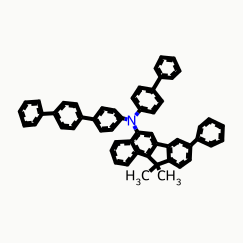 CC1(C)c2ccc(-c3ccccc3)cc2-c2cc(N(c3ccc(-c4ccccc4)cc3)c3ccc(-c4ccc(-c5ccccc5)cc4)cc3)c3ccccc3c21